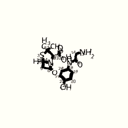 CC1(C)S[C@@H]2CC(=O)N2[C@H]1C(=O)O.NCC(=O)Nc1ccc(O)cc1